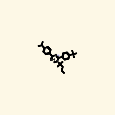 CCCC(C)(C)N(C)/C(=N\C(=N)c1ccc(C(C)C)cc1)c1ccc(C(C)(C)C)cc1